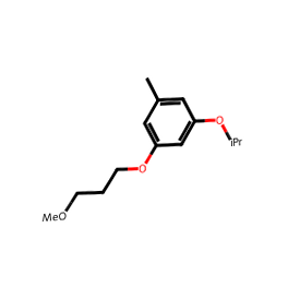 COCCCOc1cc(C)cc(OC(C)C)c1